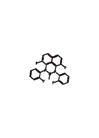 CN(P(c1ccccc1F)c1ccccc1F)P(c1ccccc1F)c1ccccc1F